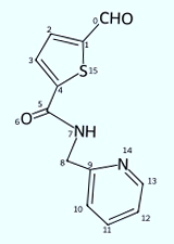 O=Cc1ccc(C(=O)NCc2ccccn2)s1